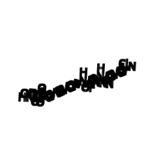 N#Cc1ccc(N2CCc3c(ncnc3Nc3ccc(C(=O)NC4CC5(CCC(N6CCN(c7ccc8c(c7)C(=O)N(C7CCC(=O)NC7=O)C8=O)CC6)CC5)C4)c(F)n3)C2)cc1Cl